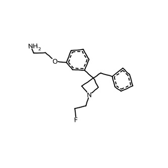 NCCOc1cccc(C2(Cc3ccccc3)CN(CCF)C2)c1